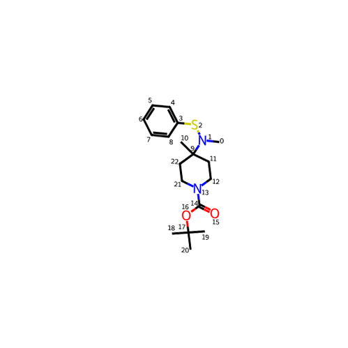 CN(Sc1ccccc1)C1(C)CCN(C(=O)OC(C)(C)C)CC1